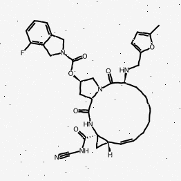 Cc1ccc(CN[C@H]2CCCCC/C=C\[C@@H]3C[C@@]3(C(=O)NC#N)NC(=O)C3C[C@@H](OC(=O)N4Cc5cccc(F)c5C4)CN3C2=O)o1